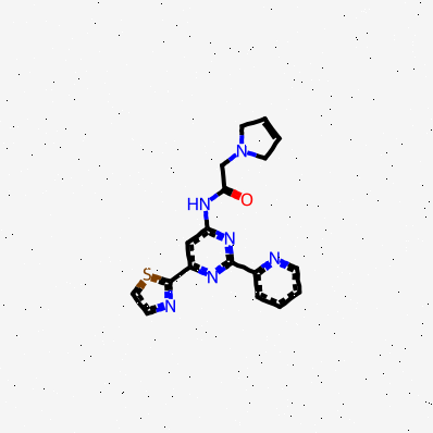 O=C(CN1CC=CC1)Nc1cc(-c2nccs2)nc(-c2ccccn2)n1